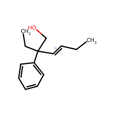 CC/C=C/C(CC)(CO)c1ccccc1